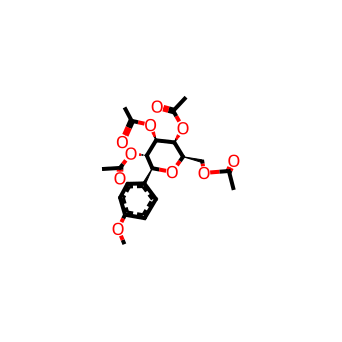 COc1ccc([C@@H]2O[C@H](COC(C)=O)[C@H](OC(C)=O)[C@H](OC(C)=O)[C@H]2OC(C)=O)cc1